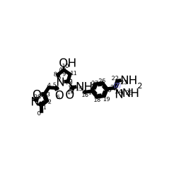 Cc1cc(CC(=O)N2C[C@H](O)C[C@H]2C(=O)NCc2ccc(/C(=C/N)N=N)cc2)on1